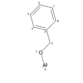 [Al][O]Cc1ccccc1